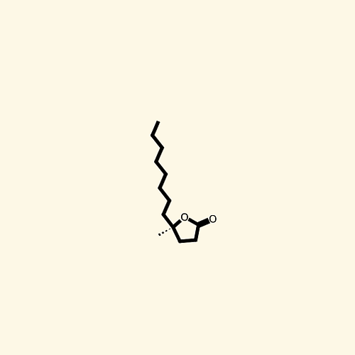 CCCCCCCC[C@]1(C)CCC(=O)O1